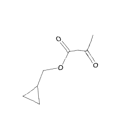 CC(=O)C(=O)OCC1CC1